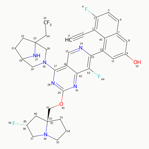 C#Cc1c(F)ccc2cc(O)cc(-c3ncc4c(N5CC6CCC(CC(F)(F)F)(C5)N6)nc(OC[C@@]56CCCN5C[C@H](F)C6)nc4c3F)c12